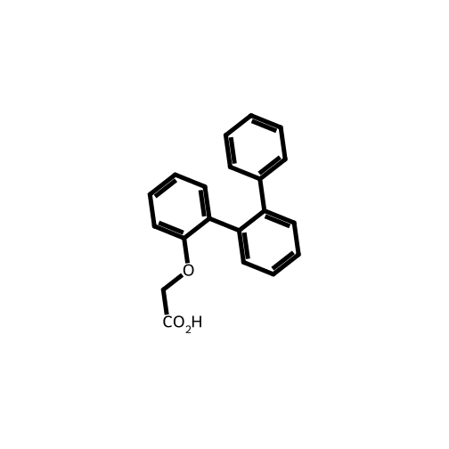 O=C(O)COc1ccccc1-c1ccccc1-c1ccccc1